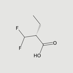 CC[C@H](C(=O)O)C(F)F